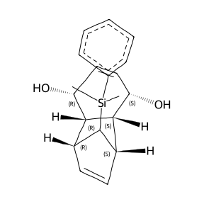 C[Si](C)(c1ccccc1)C1[C@H]2C=C[C@@H]1[C@H]1[C@@H]2[C@@H](O)C=C[C@H]1O